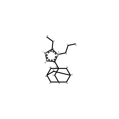 CCCn1c(CC)nnc1C12CC3CC(CC(C3)C1)C2